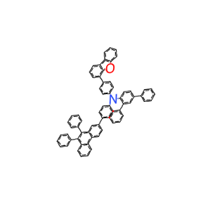 c1ccc(-c2ccc(N(c3ccc(-c4ccc5c(c4)c(-c4ccccc4)c(-c4ccccc4)c4ccccc45)cc3)c3ccc(-c4cccc5c4oc4ccccc45)cc3)c(-c3ccccc3)c2)cc1